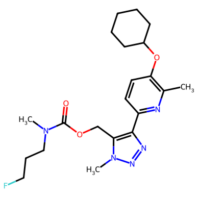 Cc1nc(-c2nnn(C)c2COC(=O)N(C)CCCF)ccc1OC1CCCCC1